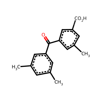 Cc1cc(C)cc(C(=O)c2cc(C)cc(C(=O)O)c2)c1